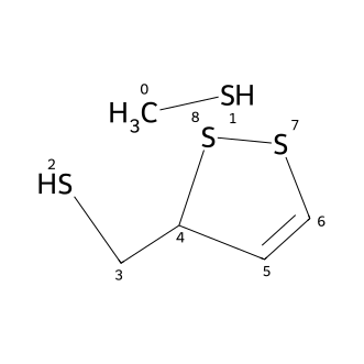 CS.SCC1C=CSS1